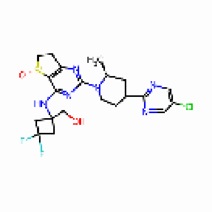 C[C@H]1CC(c2ncc(Cl)cn2)CCN1c1nc2c(c(NC3(CO)CC(F)(F)C3)n1)[S@+]([O-])CC2